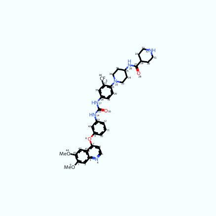 COc1cc2nccc(Oc3cccc(NC(=O)Nc4ccc(N5CCC(NC(=O)C6CCNCC6)CC5)c(C(F)(F)F)c4)c3)c2cc1OC